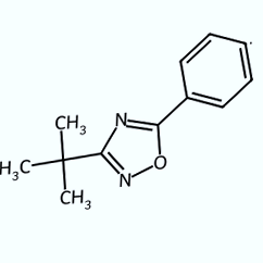 CC(C)(C)c1noc(-c2cc[c]cc2)n1